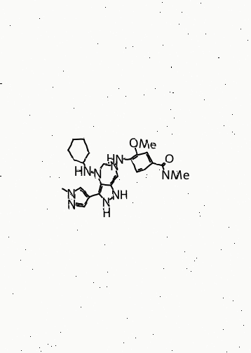 CNC(=O)c1ccc(NN2C=C3NNC(c4cnn(C)c4)=C3N(NC3CCCCC3)C2)c(OC)c1